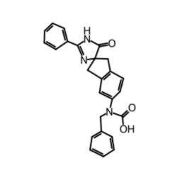 O=C(O)N(Cc1ccccc1)c1ccc2c(c1)CC1(C2)N=C(c2ccccc2)NC1=O